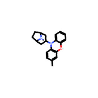 Cc1ccc2c(c1)Oc1ccccc1N2C1CC2CCC(C1)N2C